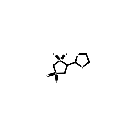 O=S1(=O)CC(C2SCCS2)S(=O)(=O)C1